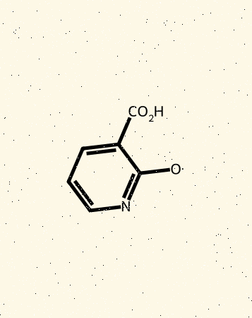 [O]c1ncccc1C(=O)O